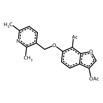 CC(=O)Oc1coc2c(C(C)=O)c(OCc3ccc(C)nc3C)ccc12